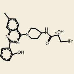 Cc1ccc2c(N3CCC(NC(=O)[C@H](O)CC(C)C)CC3)nc(-c3ccccc3O)nc2c1